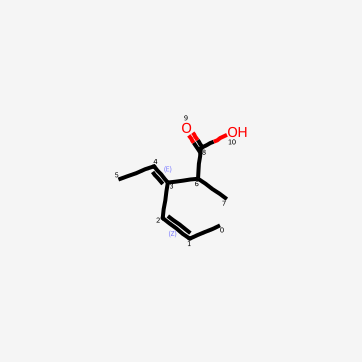 C/C=C\C(=C/C)C(C)C(=O)O